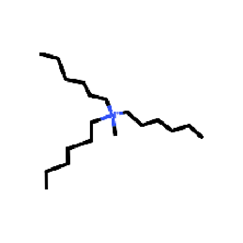 CCCCCC[N+](C)(CCCCCC)CCCCCC